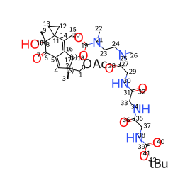 CC(=O)OC[C@]1(C)C=C2C(=O)[C@](C)(O)C3(CC3)C(C)=C2[C@@H]1OC(=O)N(C)CCN(C)C(=O)CNC(=O)CNC(=O)CNC(=O)OC(C)(C)C